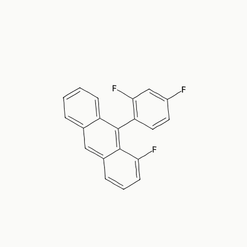 Fc1ccc(-c2c3ccccc3cc3cccc(F)c23)c(F)c1